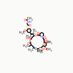 CCC1/C=C(\C)CC(C)CC(OC)C2OC(O)(C(=O)C(=O)N3CCCCC3C(=O)OC(C(C)=CC3CCC(SC(=O)CNC(C)=O)C(OC)C3)C(C)C(O)CC1=O)C(C)CC2OC